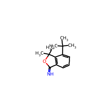 CC(C)(C)c1cccc2c1C(C)(C)OC2=N